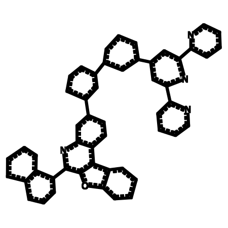 c1ccc(-c2cc(-c3cccc(-c4cccc(-c5ccc6c(c5)nc(-c5cccc7ccccc57)c5oc7ccccc7c56)c4)c3)cc(-c3ccccn3)n2)nc1